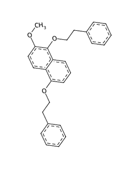 COc1ccc2c(OCCc3ccccc3)cccc2c1OCCc1ccccc1